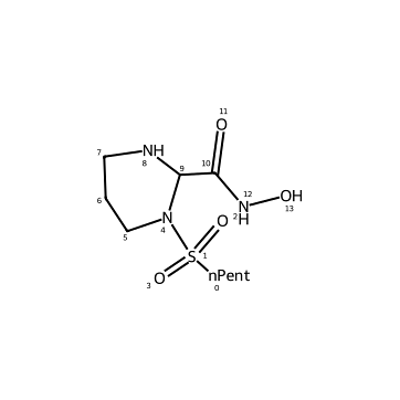 CCCCCS(=O)(=O)N1CCCNC1C(=O)NO